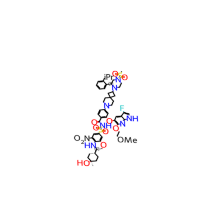 COCCOc1nc2[nH]cc(F)c2cc1Oc1cc(N2CCC3(CC2)CC(N2CCN(S(C)(=O)=O)C[C@@H]2c2ccccc2C(C)C)C3)ccc1C(=O)NS(=O)(=O)c1cc2c(c([N+](=O)[O-])c1)N[C@@H]([C@H]1CC[C@](C)(O)CC1)CO2